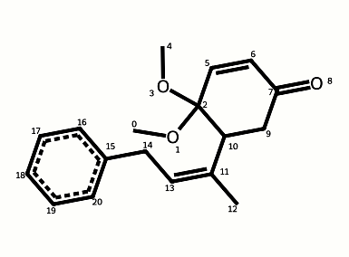 COC1(OC)C=CC(=O)CC1/C(C)=C\Cc1ccccc1